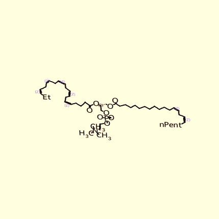 CC/C=C\C/C=C\C/C=C\C/C=C\C/C=C\CCCC(=O)O[C@H](COC(=O)CCCCCCCCCCC/C=C\C/C=C\CCCCC)COP(=O)([O-])OCC[N+](C)(C)C